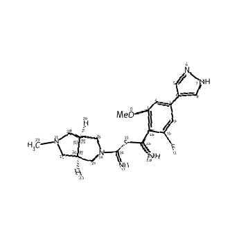 COc1cc(-c2cn[nH]c2)cc(F)c1C(=N)SC(=N)N1C[C@H]2CN(C)C[C@H]2C1